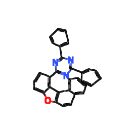 c1ccc(-c2nc(-c3ccccc3)nc(-c3cccc4oc5ccc6ccccc6c5c34)n2)cc1